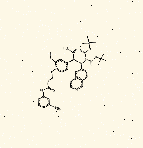 CCc1cc(C(C(=O)O)N(c2ccc3cnccc3c2)N(C(=O)OC(C)(C)C)C(=O)OC(C)(C)C)ccc1CCOC(=O)Nc1cccc(C#N)c1